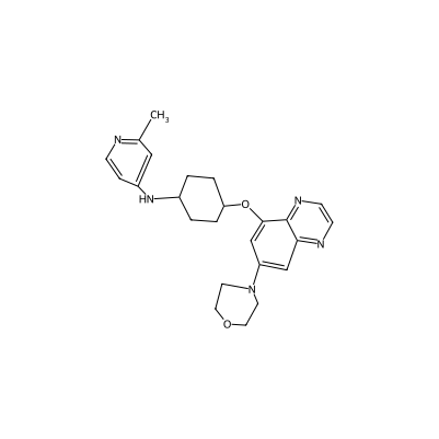 Cc1cc(NC2CCC(Oc3cc(N4CCOCC4)cc4nccnc34)CC2)ccn1